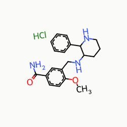 COc1ccc(C(N)=O)cc1CNC1CCCNC1c1ccccc1.Cl